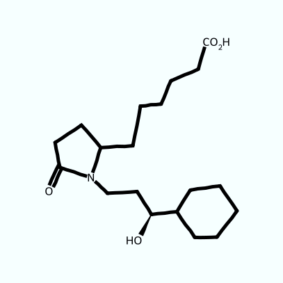 O=C(O)CCCCCC1CCC(=O)N1CC[C@H](O)C1CCCCC1